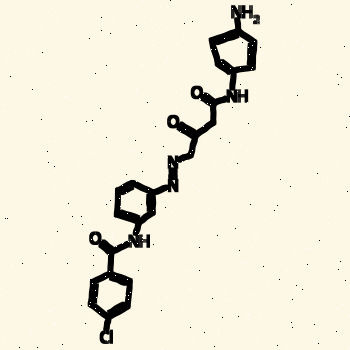 Nc1ccc(NC(=O)CC(=O)CN=Nc2cccc(NC(=O)c3ccc(Cl)cc3)c2)cc1